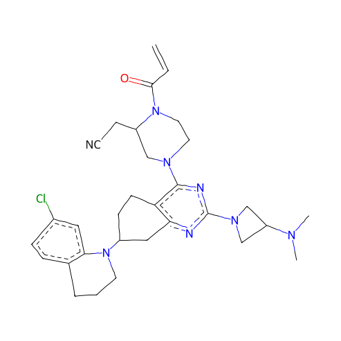 C=CC(=O)N1CCN(c2nc(N3CC(N(C)C)C3)nc3c2CCC(N2CCCc4ccc(Cl)cc42)C3)CC1CC#N